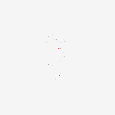 CCCCCCCCCN(CCCC(=O)OCCCCC)CCC1CCN(C(=O)CN(CCCCCCCCC)CCN(CCCCCCCCC)CCCCCCCCC)C1